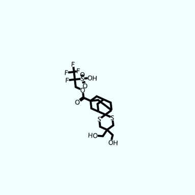 O=C(OCC(F)(C(F)(F)F)S(=O)(=O)O)C12CC3CC(C1)C1(SCC(CO)(CO)CS1)C(C3)C2